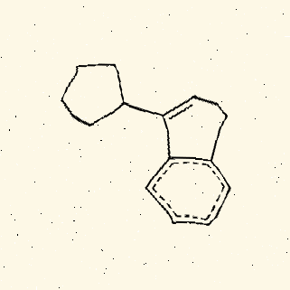 C1=C(C2CCCC2)c2ccccc2C1